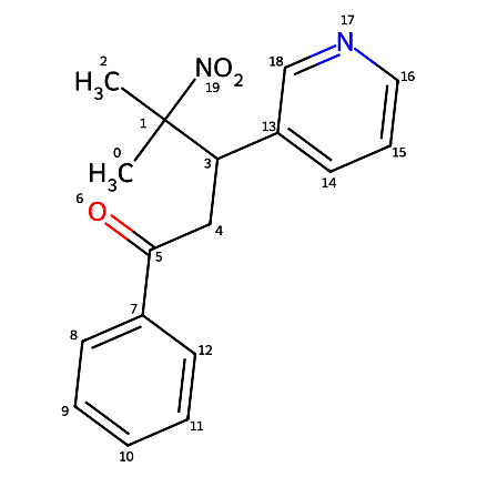 CC(C)(C(CC(=O)c1ccccc1)c1cccnc1)[N+](=O)[O-]